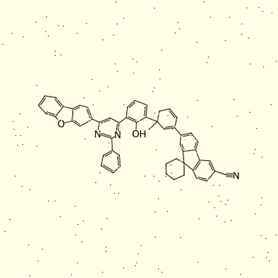 CC1(c2cccc(-c3cc(-c4ccc5c(c4)oc4ccccc45)nc(-c4ccccc4)n3)c2O)C=C(c2ccc3c(c2)C2(CCCCC2)c2ccc(C#N)cc2-3)C=CC1